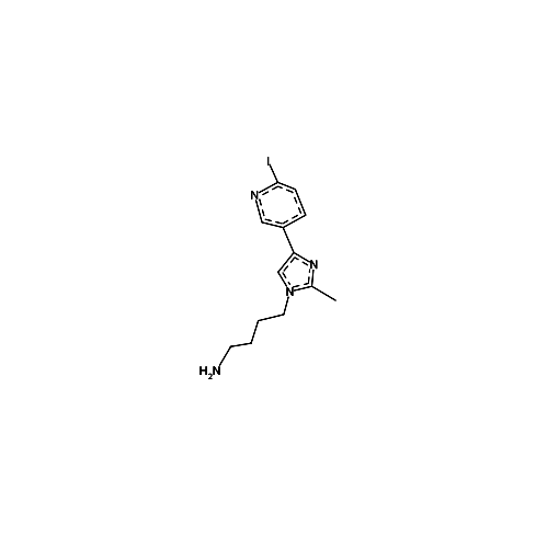 Cc1nc(-c2ccc(I)nc2)cn1CCCCN